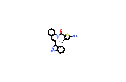 Cc1cc(N)sc1C(=O)Nc1ccccc1C=Cc1n[nH]c2ccccc12